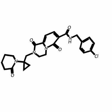 O=C(NCc1ccc(Cl)cc1)c1ccc2n(c1=O)CCN(CC1(N3CCCCC3=O)CC1)C2=O